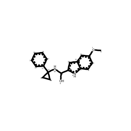 COc1ccc2[nH]c(C(O)NC3(c4ccccc4)CC3)cc2c1